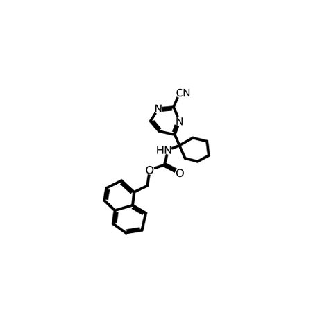 N#Cc1nccc(C2(NC(=O)OCc3cccc4ccccc34)CCCCC2)n1